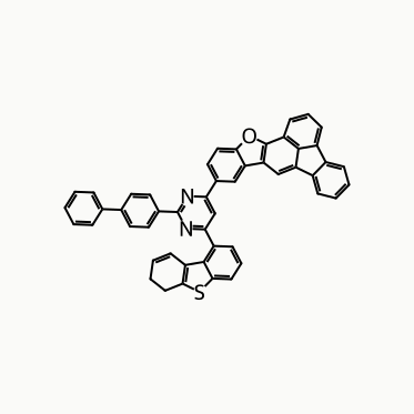 C1=Cc2c(sc3cccc(-c4cc(-c5ccc6oc7c8cccc9c8c(cc7c6c5)-c5ccccc5-9)nc(-c5ccc(-c6ccccc6)cc5)n4)c23)CC1